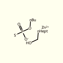 CCCCCCCCO.CCCCOP(=O)([O-])[S-].[Zn+2]